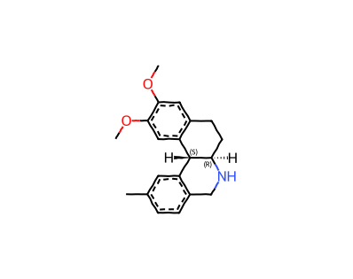 COc1cc2c(cc1OC)[C@H]1c3cc(C)ccc3CN[C@@H]1CC2